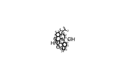 CC(C)C1Cc2cccc3c2N1C=CN=C3C1=C(c2cccc3ccoc23)C(=O)NC1=O.Cl